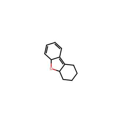 [C]1=CC2=C3CCCCC3OC2C=C1